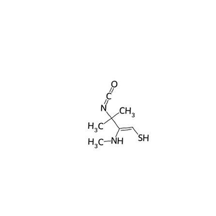 CN/C(=C\S)C(C)(C)N=C=O